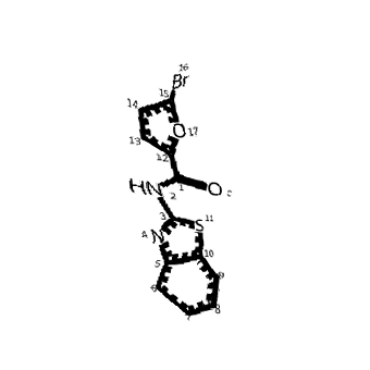 O=C(Nc1nc2ccccc2s1)c1ccc(Br)o1